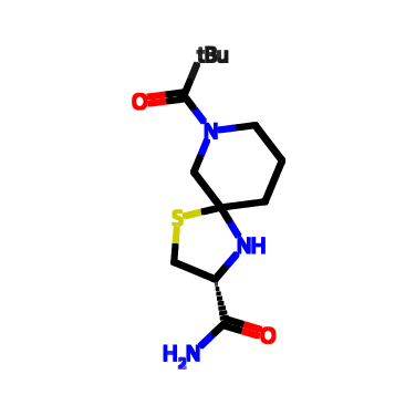 CC(C)(C)C(=O)N1CCCC2(C1)N[C@H](C(N)=O)CS2